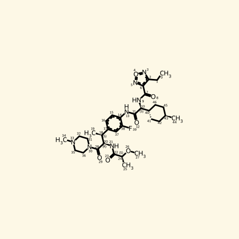 CCc1nonc1C(=O)N[C@H](C(=O)Nc1ccc([C@H](C)[C@@H](NC(=O)[C@H](C)OC)C(=O)N2CCN(C)CC2)cc1F)[C@H]1CC[C@H](C)CC1